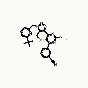 CC(C)(C)c1cccc(Cn2nnc(-c3cc(-c4cccc(C#N)c4)nc(N)n3)c2CO)n1